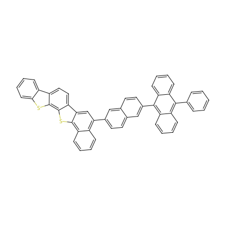 c1ccc(-c2c3ccccc3c(-c3ccc4cc(-c5cc6c7ccc8c9ccccc9sc8c7sc6c6ccccc56)ccc4c3)c3ccccc23)cc1